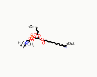 CCCCCCCC/C=C\CCCCCCCCCC(=O)OC[C@H](COP(=O)([O-])OCC[N+](C)(C)C)OC(=O)CCCCCCCCCCCCC